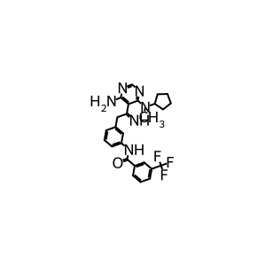 CN(c1ncnc(N)c1C(=N)Cc1cccc(NC(=O)c2cccc(C(F)(F)F)c2)c1)C1CCCC1